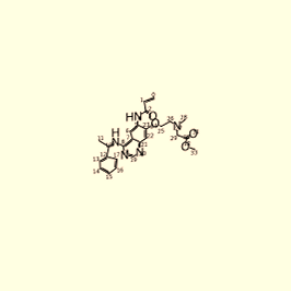 C=CC(=O)Nc1cc2c(NC(C)c3ccccc3)ncnc2cc1OCCN(C)CC(=O)OC